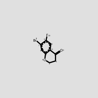 O=C1CCOc2cc(Br)c(F)cc21